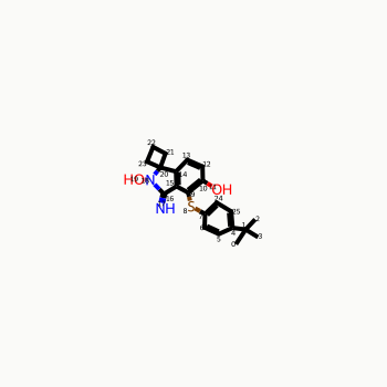 CC(C)(C)c1ccc(Sc2c(O)ccc3c2C(=N)N(O)C32CCC2)cc1